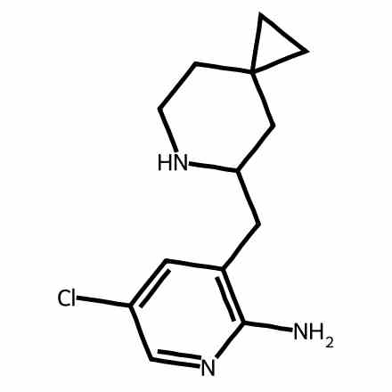 Nc1ncc(Cl)cc1CC1CC2(CCN1)CC2